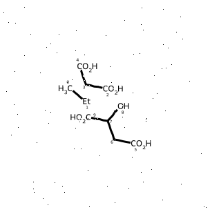 CCC.O=C(O)CC(=O)O.O=C(O)CC(O)C(=O)O